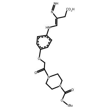 CC(C)(C)OC(=O)N1CCN(C(=O)COc2ccc(N/C=C(/CC(=O)O)N=N)cc2)CC1